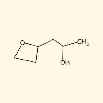 CC(O)CC1CCO1